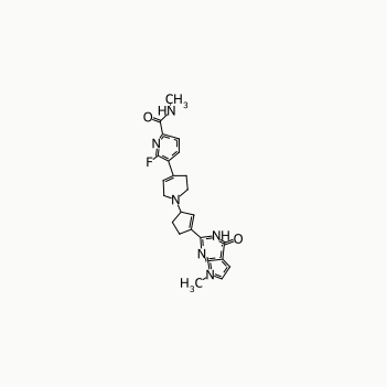 CNC(=O)c1ccc(C2=CCN(C3C=C(c4nc5c(ccn5C)c(=O)[nH]4)CC3)CC2)c(F)n1